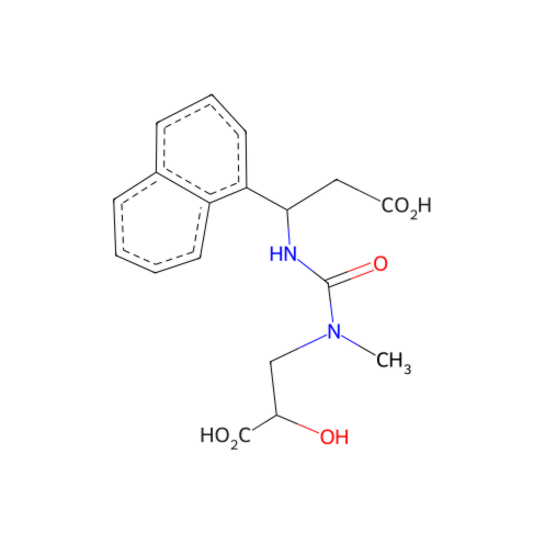 CN(CC(O)C(=O)O)C(=O)NC(CC(=O)O)c1cccc2ccccc12